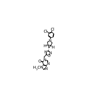 Cn1cnc2ncn(Cc3nc([C@@H]4[C@@H]5CN(c6ccc(Cl)c(Cl)c6)C[C@@H]54)no3)c(=O)c21